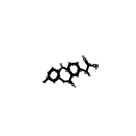 Cc1ccc2c(c1)CC(=O)c1cc(C(C)C(=O)O)ccc1S2